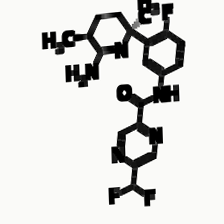 C[C@H]1CC[C@@](C)(c2cc(NC(=O)c3cnc(C(F)F)cn3)ccc2F)N=C1N